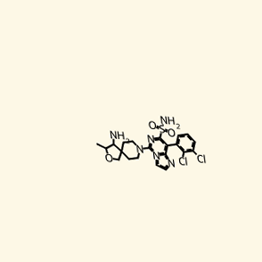 CC1OCC2(CCN(c3nc(S(N)(=O)=O)c(-c4cccc(Cl)c4Cl)c4nccn34)CC2)C1N